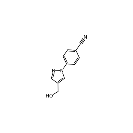 N#Cc1ccc(-n2cc(CO)cn2)cc1